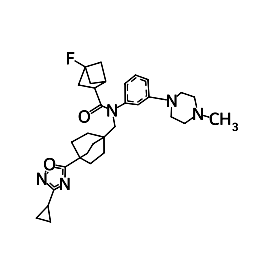 CN1CCN(c2cccc(N(CC34CCC(c5nc(C6CC6)no5)(CC3)CC4)C(=O)C3CC4(F)CC3C4)c2)CC1